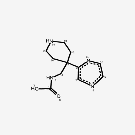 O=C(O)NCC1(c2cnccn2)CCNCC1